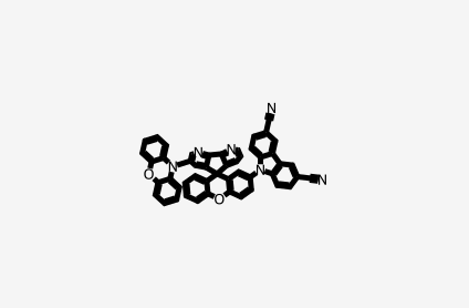 N#Cc1ccc2c(c1)c1cc(C#N)ccc1n2-c1ccc2c(c1)C1(c3ccccc3O2)c2cccnc2-c2ncc(N3c4ccccc4Oc4ccccc43)cc21